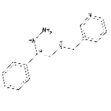 NN[C@H](CNCc1cccnc1)c1ccccc1